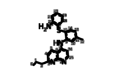 CCCc1ccc2c(Nc3cc(C)ccc3Sc3ccccc3N)ccnc2n1